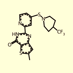 Cc1cc2nc(-c3cc(SN4CCC(C(F)(F)F)CC4)ccn3)[nH]c(=O)c2s1